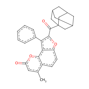 Cc1cc(=O)oc2c1ccc1oc(C(=O)C34CC5CC(CC(C5)C3)C4)c(-c3ccccc3)c12